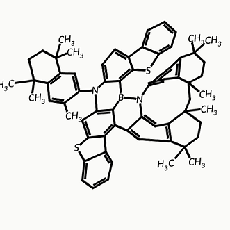 Cc1cc2c(cc1N1c3cc4sc5ccccc5c4c4c3B(c3c1ccc1c3sc3ccccc31)N1c3ccc5c(c3)C(C)(CCC5(C)C)CC3(C)CCC(C)(C)c5cc-4c1cc53)C(C)(C)CCC2(C)C